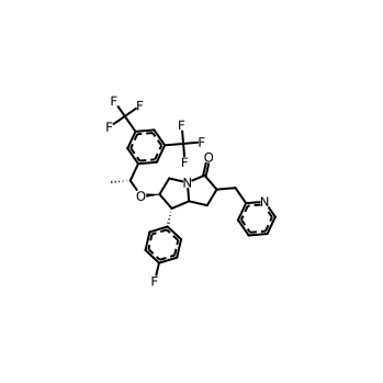 C[C@@H](O[C@H]1CN2C(=O)C(Cc3ccccn3)CC2[C@@H]1c1ccc(F)cc1)c1cc(C(F)(F)F)cc(C(F)(F)F)c1